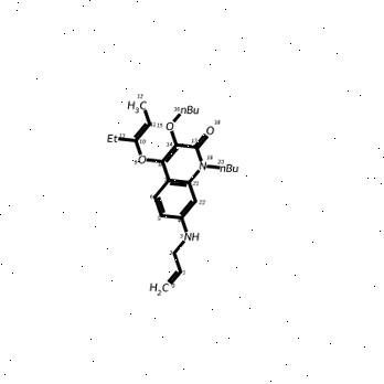 C=CCNc1ccc2c(OC(=CC)CC)c(OCCCC)c(=O)n(CCCC)c2c1